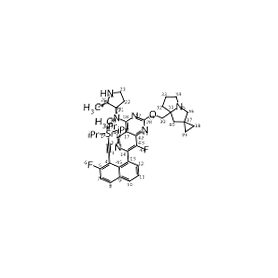 CC(C)[Si](C#Cc1c(F)ccc2cccc(-c3ncc4c(N(C)[C@@H]5CCN[C@@H]5C)nc(OCC56CCCN5CC5(CC5)C6)nc4c3F)c12)(C(C)C)C(C)C